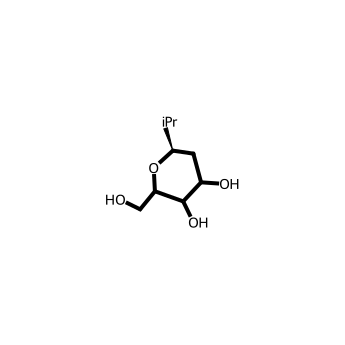 CC(C)[C@H]1CC(O)C(O)C(CO)O1